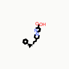 O=C(O)c1ccc(N2CCC(CCC[C@@H]3C[C@H]3c3ccccc3)CC2)nc1